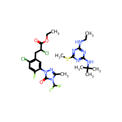 CCNc1nc(NC(C)(C)C)nc(SC)n1.CCOC(=O)C(Cl)Cc1cc(-n2nc(C)n(C(F)F)c2=O)c(F)cc1Cl